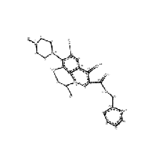 CC1COc2c(N3CCN(C)CC3)c(F)cc3c(=O)c(C(=O)OCc4ccccn4)cn1c23